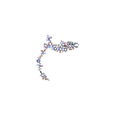 CC[C@H](C)[C@@H]([C@@H](CC(=O)N1CCC[C@H]1[C@H](OC)[C@@H](C)C(=O)N[C@@H](Cc1ccccc1)C(=O)NCc1ccc(NC(=O)[C@H](CCCNC(N)=O)NC(=O)[C@@H](NC(=O)COCC(=O)NCCOCCn2cc(CNC(=O)CCCC#Cc3cnc(S(C)(=O)=O)nc3)nn2)C(C)C)cc1)OC)N(C)C(=O)[C@@H](NC(=O)[C@H](C(C)C)N(C)C)C(C)C